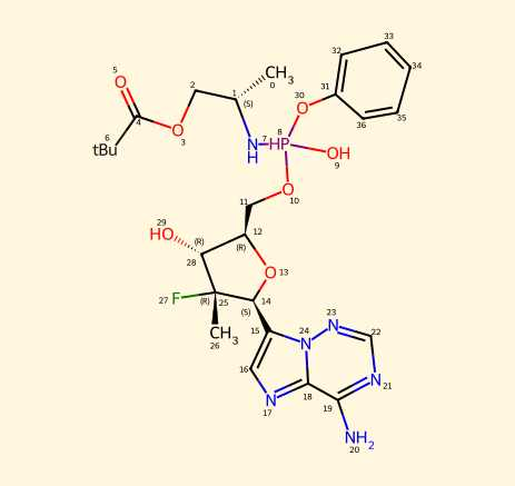 C[C@@H](COC(=O)C(C)(C)C)N[PH](O)(OC[C@H]1O[C@@H](c2cnc3c(N)ncnn23)[C@](C)(F)[C@@H]1O)Oc1ccccc1